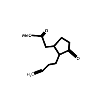 C=CCCC1C(=O)CCC1CC(=O)OC